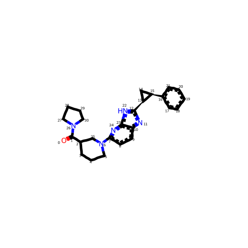 O=C(C1CCCN(c2ccc3nc([C@H]4C[C@H]4c4ccccc4)[nH]c3n2)C1)N1CCCC1